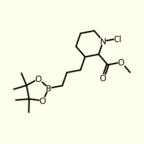 COC(=O)C1C(CCCB2OC(C)(C)C(C)(C)O2)CCCN1Cl